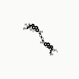 CC(C)CCCC(C)C1CCC2C3CC=C4CC(NCCOCCOCCNC5CCC6(C)C(=CCC7C6CCC6(C)C(C(C)CCCC(C)C)CCC76)C5)CCC4(C)C3CCC12C